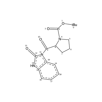 CC(C)(C)OC(=O)N1CCCC1C(=O)n1c(=O)[nH]c2ccccc21